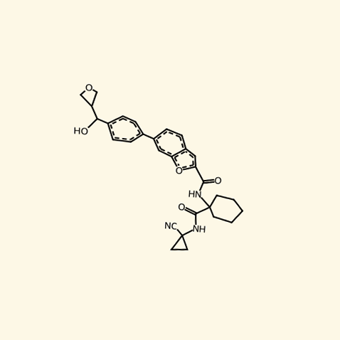 N#CC1(NC(=O)C2(NC(=O)c3cc4ccc(-c5ccc(C(O)C6COC6)cc5)cc4o3)CCCCC2)CC1